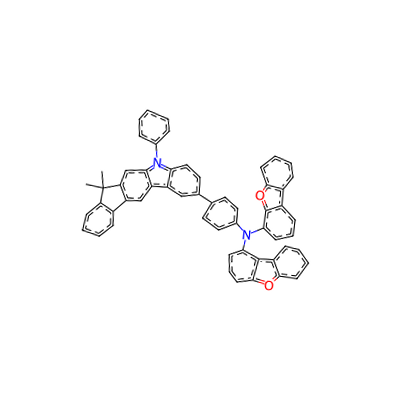 CC1(C)c2ccccc2-c2cc3c4cc(-c5ccc(N(c6cccc7c6oc6ccccc67)c6cccc7oc8ccccc8c67)cc5)ccc4n(-c4ccccc4)c3cc21